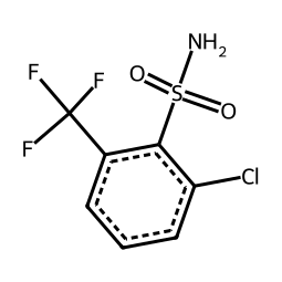 NS(=O)(=O)c1c(Cl)cccc1C(F)(F)F